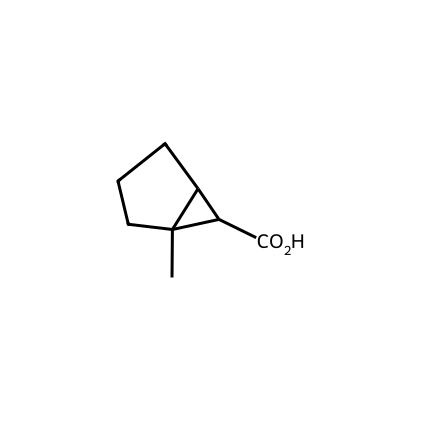 CC12CCCC1C2C(=O)O